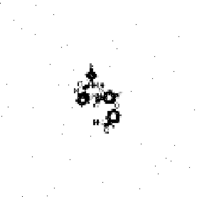 COc1cc(F)c(O[C@H]2CC[C@@](C)(C(=O)O)CC2)cc1C(=O)N[C@@H]1[C@H]2CC[C@H](C2)[C@@H]1C(=O)NC12CC(F)(C1)C2